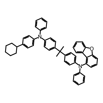 CC(C)(c1ccc(N(c2ccccc2)c2ccc(C3CCCCC3)cc2)cc1)c1ccc(N(c2ccccc2)c2cccc3oc4ccccc4c23)cc1